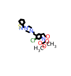 COC(=O)C(OC)N1C(=O)Cc2cc(CCN3CCN(c4nsc5ccccc45)CC3)c(Cl)cc21